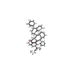 C[C@H]1Sc2cccc(-c3c4ccccc4c(-c4ccc(-c5ccccc5)c5ccccc45)c4ccccc34)c2-c2cc3ccccc3cc21